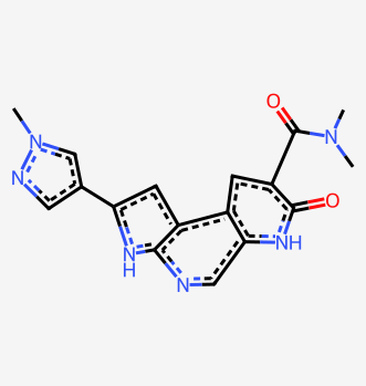 CN(C)C(=O)c1cc2c(cnc3[nH]c(-c4cnn(C)c4)cc32)[nH]c1=O